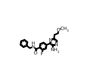 COCCc1cnc(N)c(-c2ccc(C(=O)NCc3ccccc3)c(F)c2)n1